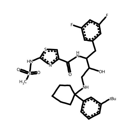 CC(C)(C)c1cccc(C2(NCC(O)C(Cc3cc(F)cc(F)c3)NC(=O)c3csc(NS(C)(=O)=O)n3)CCCCC2)c1